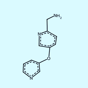 NCc1ccc(Oc2cccnc2)cn1